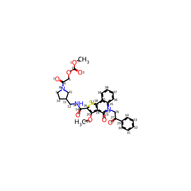 COC(=O)OCC(=O)N1CCC(CNC(=O)c2sc3c(c2OC)c(=O)n(CC(=O)c2ccccc2)c2ccccc32)C1